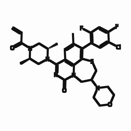 C=CC(=O)N1C[C@H](C)N(c2nc(=O)n3c4c(c(-c5cc(Cl)c(F)cc5F)c(C)cc24)SCC(N2CCOCC2)C3)C[C@H]1C